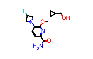 NC(=O)c1ccc(N2CC(F)C2)c(OC[C@@H]2C[C@H]2CO)n1